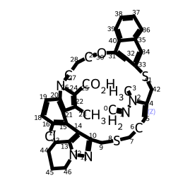 C=NN(C)/C1=C\CCSCc2nn3c(c2-c2c(Cl)ccc4c2c(C)c(C(=O)O)n4CCCOc2cc(cc4ccccc24)SC1)CCCC3